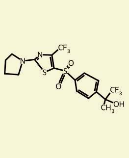 CC(O)(c1ccc(S(=O)(=O)c2sc(N3CCCC3)nc2C(F)(F)F)cc1)C(F)(F)F